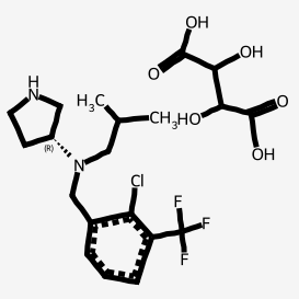 CC(C)CN(Cc1cccc(C(F)(F)F)c1Cl)[C@@H]1CCNC1.O=C(O)C(O)C(O)C(=O)O